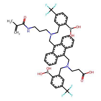 C=C(C)C(=O)NCCCN(Cc1cc(C(F)(F)F)ccc1B(O)O)Cc1c2ccccc2c(CN(CCC(=O)O)Cc2cc(C(F)(F)F)ccc2B(O)O)c2ccccc12